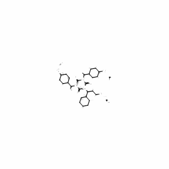 CCC(C1CCC(N=C=O)CC1)n1c(=O)n(C(CC)C2CCC(N=C=O)CC2)c(=O)n(C(CCN=C=O)C2CCCCC2)c1=O